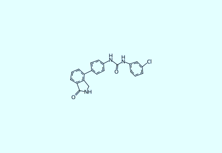 O=C(Nc1ccc(-c2cccc3c2CNC3=O)cc1)Nc1cccc(Cl)c1